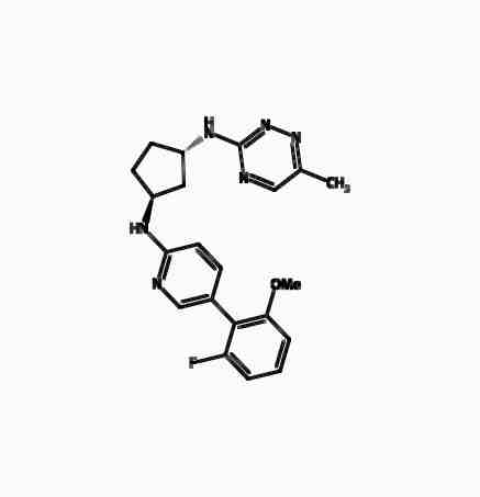 COc1cccc(F)c1-c1ccc(N[C@H]2CC[C@H](Nc3ncc(C)nn3)C2)nc1